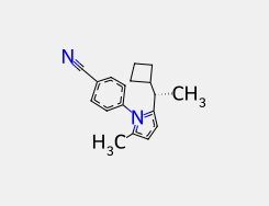 Cc1ccc([C@@H](C)C2CCC2)n1-c1ccc(C#N)cc1